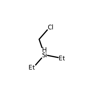 CC[SiH](CC)CCl